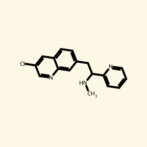 CNC(Cc1ccc2cc(Cl)cnc2c1)c1ccccn1